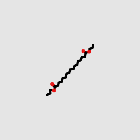 CCCOC(=O)CCCCCCCCCCCCCCCC(=O)OCCC